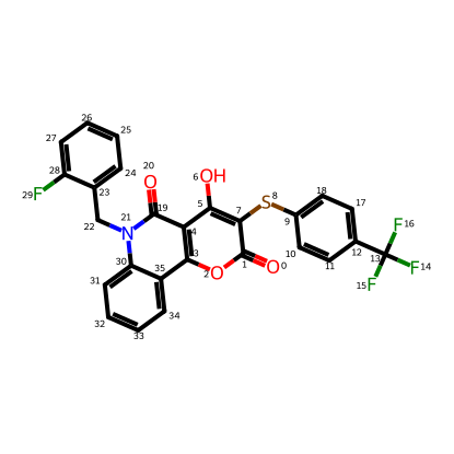 O=c1oc2c(c(O)c1Sc1ccc(C(F)(F)F)cc1)c(=O)n(Cc1ccccc1F)c1ccccc21